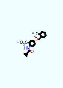 O=C(O)c1cc(OCc2ccccc2C(F)(F)F)ccc1NC(=O)C1CC1